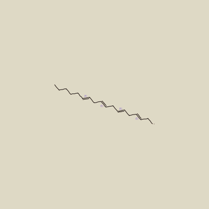 [CH2]C/C=C/C/C=C/C/C=C/C/C=C/CCCCC